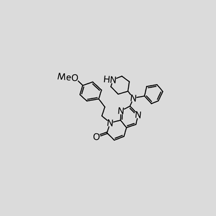 COc1ccc(CCn2c(=O)ccc3cnc(N(c4ccccc4)C4CCNCC4)nc32)cc1